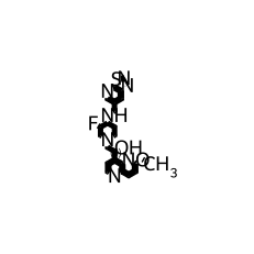 COc1ccc2nccc([C@H](O)CN3CCC(NCc4cnc5snnc5c4)C(F)C3)c2n1